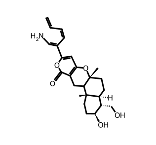 C=C/C=C\C(=C/N)c1cc2c(c(=O)o1)CC1[C@@](C)(CC[C@H]3[C@H](CO)[C@@H](O)CC[C@]13C)O2